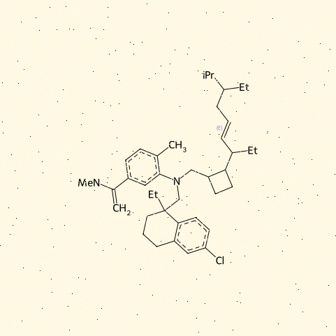 C=C(NC)c1ccc(C)c(N(CC2CCC2C(/C=C/CC(CC)C(C)C)CC)CC2(CC)CCCc3cc(Cl)ccc32)c1